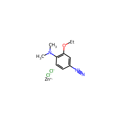 CCOc1cc([N+]#N)ccc1N(C)C.[Cl-].[Cl-].[Zn+]